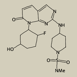 CNS(=O)(=O)N1CCC(Nc2ncc3ccc(=O)n(C4CC(O)CCC4F)c3n2)CC1